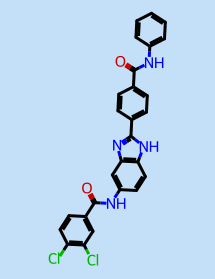 O=C(Nc1ccccc1)c1ccc(-c2nc3cc(NC(=O)c4ccc(Cl)c(Cl)c4)ccc3[nH]2)cc1